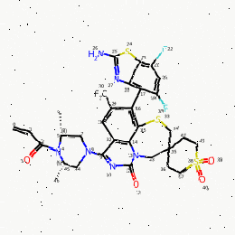 C=CC(=O)N1[C@H](C)CN(c2nc(=O)n3c4c(c(-c5c(F)cc(F)c6sc(N)nc56)c(C(F)(F)F)cc24)SCC2(CCS(=O)(=O)CC2)C3)C[C@@H]1C